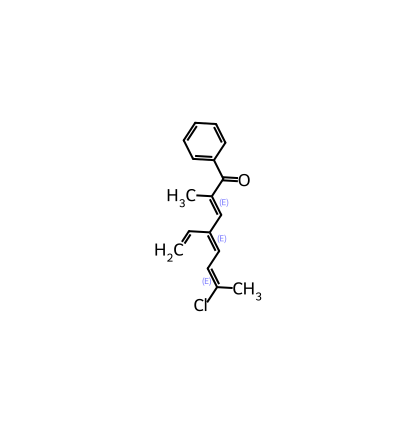 C=CC(=C\C=C(/C)Cl)/C=C(\C)C(=O)c1ccccc1